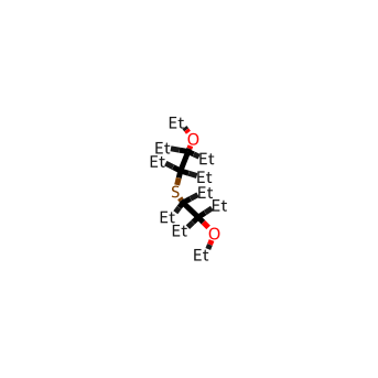 CCOC(CC)(CC)C(CC)(CC)SC(CC)(CC)C(CC)(CC)OCC